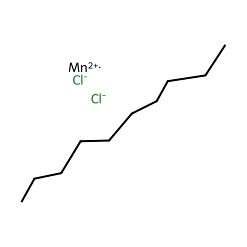 CCCCCCCCCC.[Cl-].[Cl-].[Mn+2]